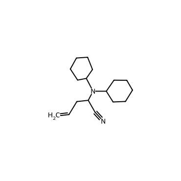 C=CCC(C#N)N(C1CCCCC1)C1CCCCC1